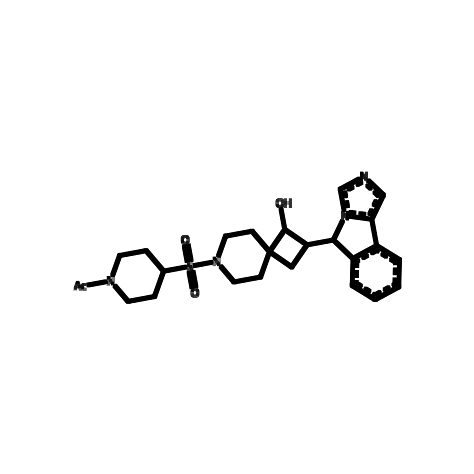 CC(=O)N1CCC(S(=O)(=O)N2CCC3(CC2)CC(C2c4ccccc4-c4cncn42)C3O)CC1